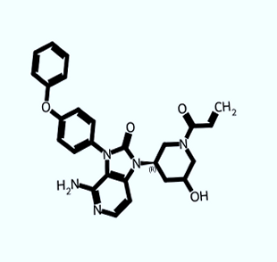 C=CC(=O)N1CC(O)C[C@@H](n2c(=O)n(-c3ccc(Oc4ccccc4)cc3)c3c(N)nccc32)C1